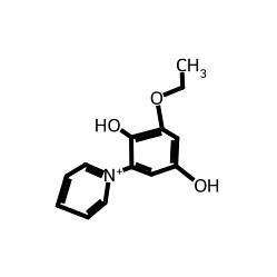 CCOc1cc(O)cc(-[n+]2ccccc2)c1O